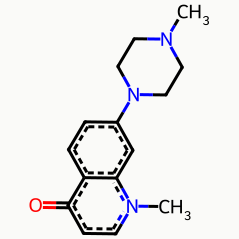 CN1CCN(c2ccc3c(=O)ccn(C)c3c2)CC1